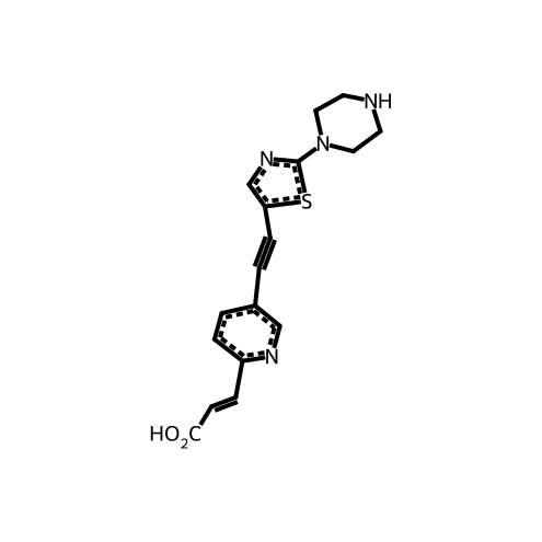 O=C(O)/C=C/c1ccc(C#Cc2cnc(N3CCNCC3)s2)cn1